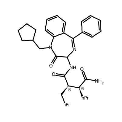 CCC[C@H](C(N)=O)[C@@H](CC(C)C)C(=O)NC1N=C(c2ccccc2)c2ccccc2N(CC2CCCC2)C1=O